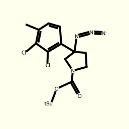 Cc1ccc(C2(N=[N+]=[N-])CCN(C(=O)OC(C)(C)C)C2)c(Cl)c1Cl